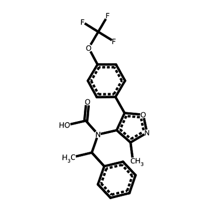 Cc1noc(-c2ccc(OC(F)(F)F)cc2)c1N(C(=O)O)C(C)c1ccccc1